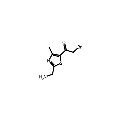 Cc1nc(CN)sc1C(=O)CBr